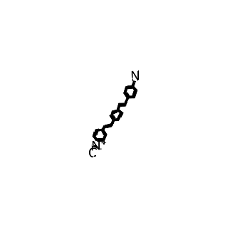 [C-]#[N+]c1ccc(C=Cc2ccc(C=Cc3ccc(C#N)cc3)cc2)cc1